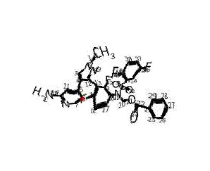 CCn1cc(-c2ccnc(N)c2)c(-c2c(F)ccc(N(COC(=O)c3ccccc3)S(=O)(=O)c3cc(F)ccc3F)c2F)n1